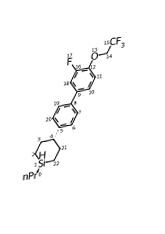 CCC[Si@H]1CC[C@H](c2ccc(-c3ccc(OCC(F)(F)F)c(F)c3)cc2)CC1